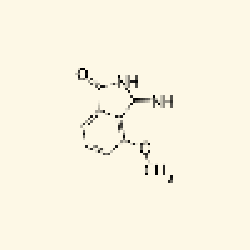 COc1cccc2c1C(=N)NC2=O